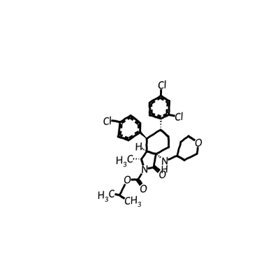 CC(C)OC(=O)N1C(=O)[C@]2(NC3CCOCC3)CC[C@@H](c3ccc(Cl)cc3Cl)[C@H](c3ccc(Cl)cc3)[C@@H]2[C@H]1C